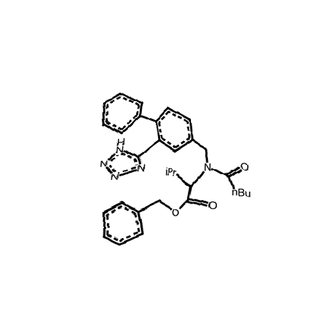 CCCCC(=O)N(Cc1ccc(-c2ccccc2)c(-c2nnn[nH]2)c1)C(C(=O)OCc1ccccc1)C(C)C